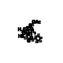 CC(=O)OCOC(=O)SC(C)(C)C(=O)N[C@@H](CS)C(=O)OCc1ccccc1